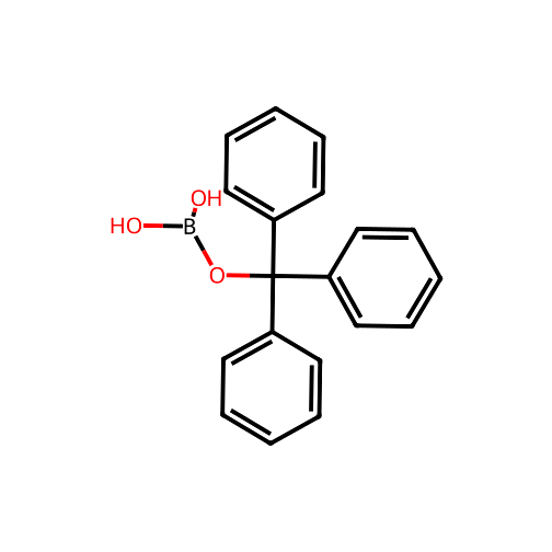 OB(O)OC(c1ccccc1)(c1ccccc1)c1ccccc1